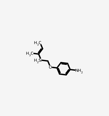 CC=C(C)[SiH2]COc1ccc(N)cc1